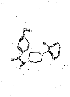 CCN(C(=O)N1CCN(c2ncccc2C#N)CC1)c1ccc(OC)cc1